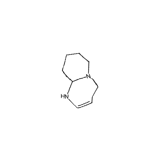 C1=CNC2CCCCN2C1